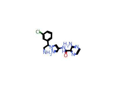 NCC(c1cccc(Cl)c1)n1cc(NC(=O)c2nccnc2N)cn1